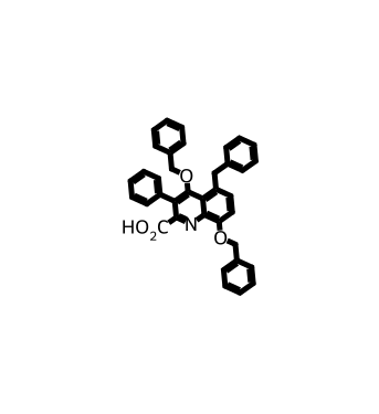 O=C(O)c1nc2c(OCc3ccccc3)ccc(Cc3ccccc3)c2c(OCc2ccccc2)c1-c1ccccc1